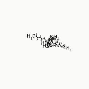 CCCCCCCCS(CCCCCCCC)=P(O)(O)S.N.N.N